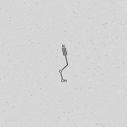 N#CCOO